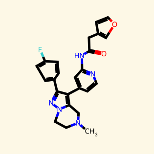 CN1CCn2nc(-c3ccc(F)cc3)c(-c3ccnc(NC(=O)Cc4ccoc4)c3)c2C1